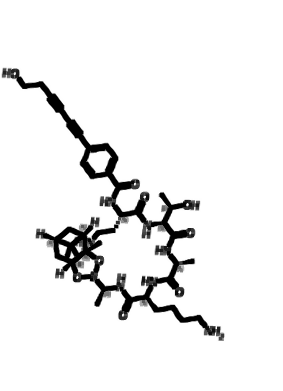 C[C@H](NC(=O)[C@H](CCCCN)NC(=O)[C@H](C)NC(=O)[C@@H](NC(=O)[C@H](CCN)NC(=O)c1ccc(C#CC#CCCO)cc1)[C@@H](C)O)B1O[C@@H]2C[C@@H]3C[C@@H](C3(C)C)[C@]2(C)O1